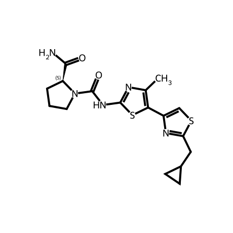 Cc1nc(NC(=O)N2CCC[C@H]2C(N)=O)sc1-c1csc(CC2CC2)n1